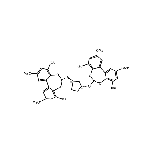 COc1cc(C(C)(C)C)c2op(O[C@@H]3CC[C@@H](Op4oc5c(C(C)(C)C)cc(OC)cc5c5cc(OC)cc(C(C)(C)C)c5o4)C3)oc3c(C(C)(C)C)cc(OC)cc3c2c1